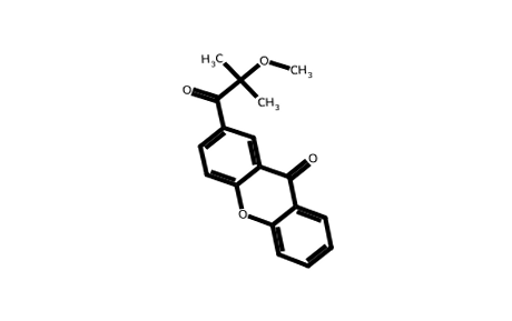 COC(C)(C)C(=O)c1ccc2oc3ccccc3c(=O)c2c1